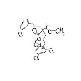 CCOC(=O)C(CCCc1cccc(Cl)c1)(CCCc1ccc(Cl)cc1Cl)C(=O)OCC